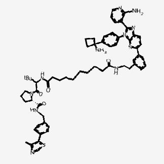 Cc1ncsc1-c1ccc(CNC(=O)[C@@H]2CCCN2C(=O)C(NC(=O)CCCCCCCCC(=O)NCCc2cccc(-c3ccc4nc(-c5cccnc5N)n(-c5ccc(C6(N)CCC6)cc5)c4n3)c2)C(C)(C)C)cc1